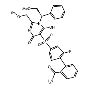 COC[C@@H](c1ccccc1)n1c(COC(C)C)nc(=O)c(S(=O)(=O)c2ccc(-c3ccccc3C(N)=O)c(F)c2)c1O